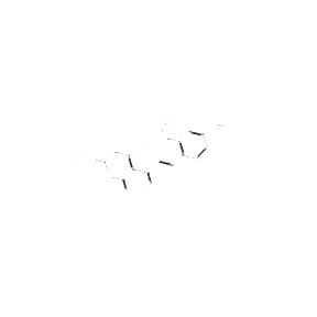 COc1ccc(C=CC(=O)C2=C(O)CC(C)OC2=O)c(OC)c1